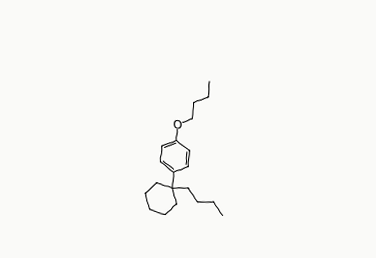 CCCCOc1ccc(C2(CCCC)CCCCC2)cc1